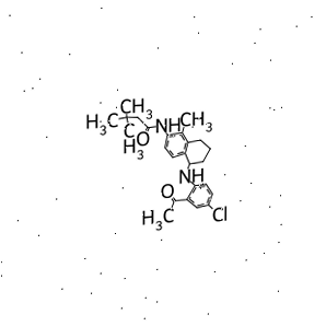 CC(=O)c1cc(Cl)ccc1NC1CCCc2c1ccc(NC(=O)CC(C)(C)C)c2C